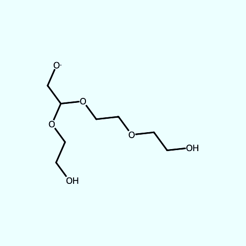 [O]CC(OCCO)OCCOCCO